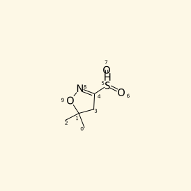 CC1(C)CC([SH](=O)=O)=NO1